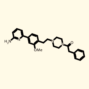 COc1cc(-c2cccc(N)n2)ccc1CCN1CCN(C(=O)Cc2ccccc2)CC1